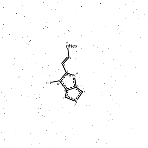 CCCCCC/C=C/c1sc2cscc2c1I